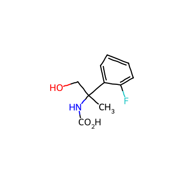 CC(CO)(NC(=O)O)c1ccccc1F